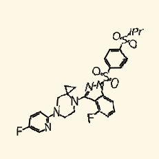 CC(C)S(=O)(=O)c1ccc(S(=O)(=O)n2nc(N3CCN(c4ccc(F)cn4)CC34CC4)c3c(F)cccc32)cc1